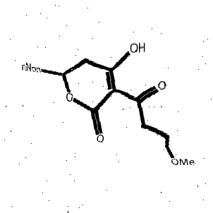 CCCCCCCCCC1CC(O)=C(C(=O)CCOC)C(=O)O1